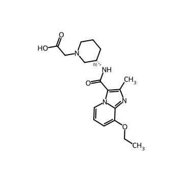 CCOc1cccn2c(C(=O)N[C@H]3CCCN(CC(=O)O)C3)c(C)nc12